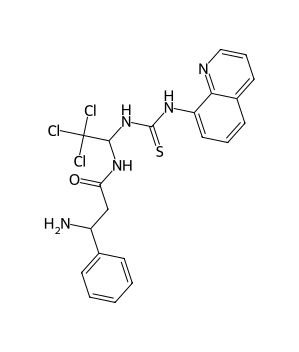 NC(CC(=O)NC(NC(=S)Nc1cccc2cccnc12)C(Cl)(Cl)Cl)c1ccccc1